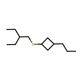 CCCC1CC(SCC(CC)CC)C1